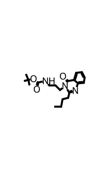 CCCCc1nc2ccccc2c(=O)n1CCCNC(=O)OC(C)(C)C